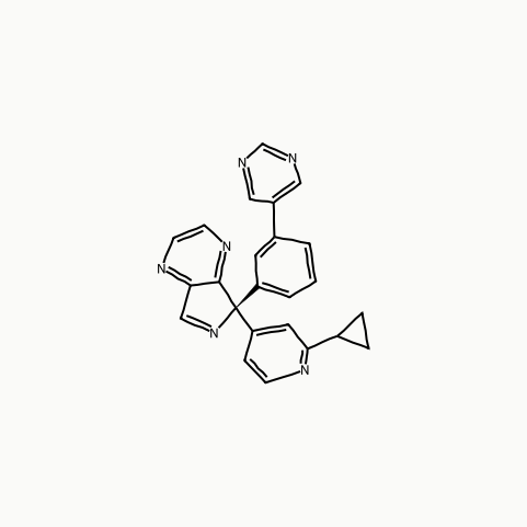 C1=N[C@@](c2cccc(-c3cncnc3)c2)(c2ccnc(C3CC3)c2)c2nccnc21